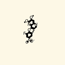 COc1cc2ncc(F)c(Oc3c(F)cc([N+](=O)[O-])cc3F)c2nc1OC